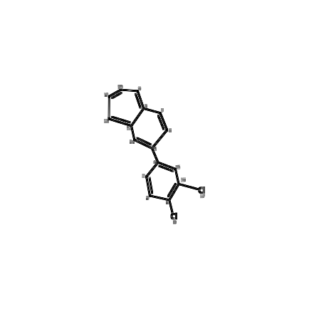 Clc1ccc(-c2ccc3ccccc3c2)cc1Cl